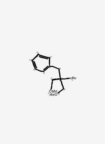 CCCCC(COC)(COC)Cc1ccccc1